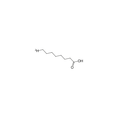 [2H]CCCCCCCC(=O)O